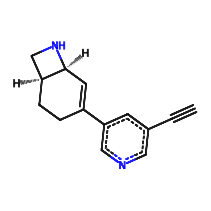 C#Cc1cncc(C2=C[C@@H]3NC[C@@H]3CC2)c1